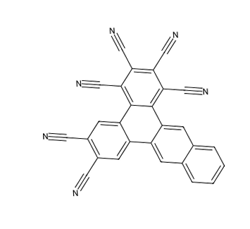 N#Cc1cc2c3cc4ccccc4cc3c3c(C#N)c(C#N)c(C#N)c(C#N)c3c2cc1C#N